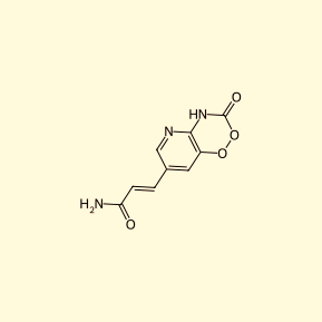 NC(=O)/C=C/c1cnc2c(c1)OOC(=O)N2